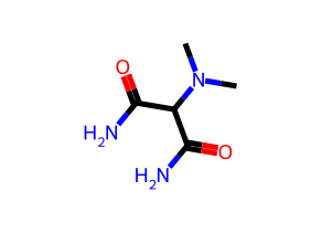 CN(C)C(C(N)=O)C(N)=O